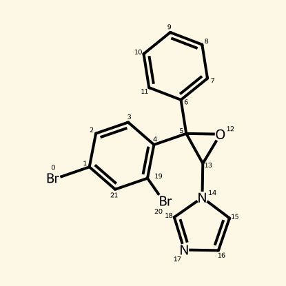 Brc1ccc(C2(c3ccccc3)OC2n2ccnc2)c(Br)c1